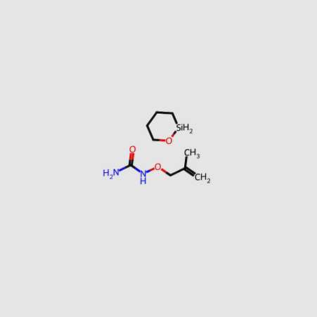 C1CC[SiH2]OC1.C=C(C)CONC(N)=O